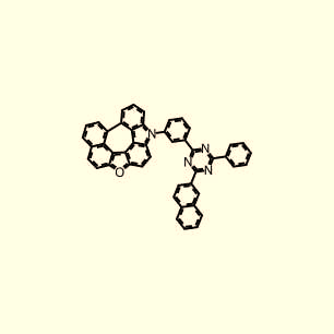 c1ccc(-c2nc(-c3cccc(-n4c5cccc6c5c5c7c(ccc54)oc4ccc5cccc-6c5c47)c3)nc(-c3ccc4ccccc4c3)n2)cc1